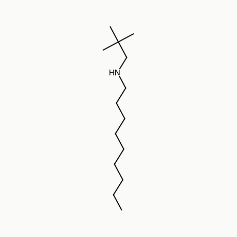 CCCCCCCCCNCC(C)(C)C